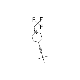 CC(C)(C)C#CC1CCN(CC(F)(F)F)CC1